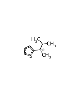 CC(C)[C@H](C)c1cccs1